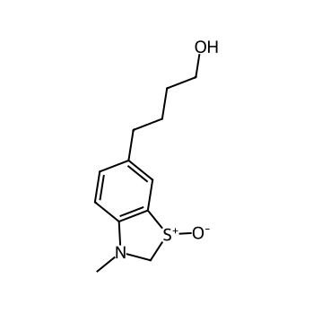 CN1C[S+]([O-])c2cc(CCCCO)ccc21